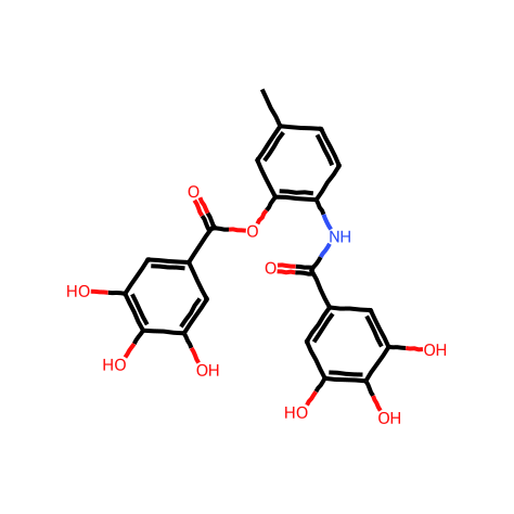 Cc1ccc(NC(=O)c2cc(O)c(O)c(O)c2)c(OC(=O)c2cc(O)c(O)c(O)c2)c1